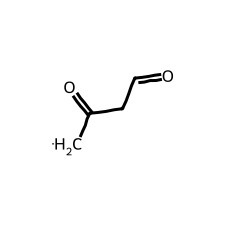 [CH2]C(=O)CC=O